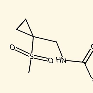 CC(C)C(=O)NCC1(S(C)(=O)=O)CC1